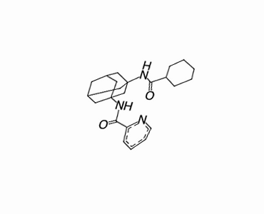 O=C(NC12CC3CC(C1)CC(NC(=O)C1CCCCC1)(C3)C2)c1ccccn1